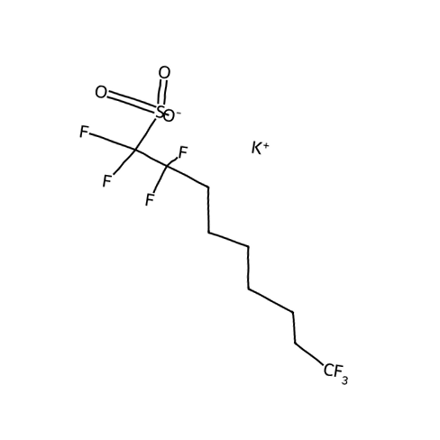 O=S(=O)([O-])C(F)(F)C(F)(F)CCCCCCC(F)(F)F.[K+]